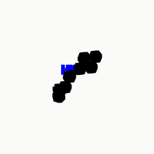 CC1(C)c2ccccc2-c2ccc(-c3ccc(Nc4ccc(-c5cccc(-c6ccccc6)c5)c(-c5ccccc5)c4)cc3)cc21